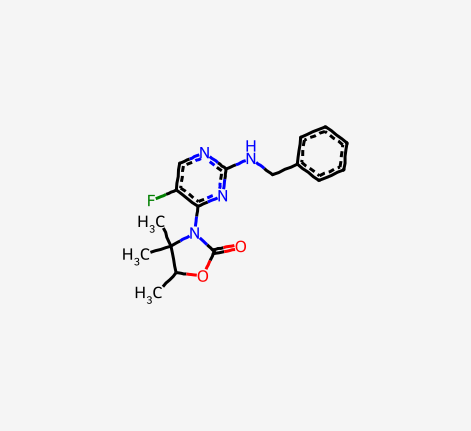 CC1OC(=O)N(c2nc(NCc3ccccc3)ncc2F)C1(C)C